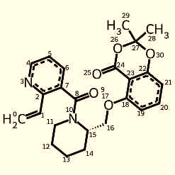 C=Cc1ncccc1C(=O)N1CCCC[C@H]1COc1cccc2c1C(=O)OC(C)(C)O2